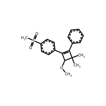 COC1C(c2ccc(S(C)(=O)=O)cc2)=C(c2ccccc2)C1(C)C